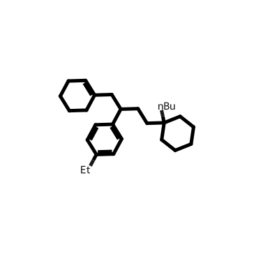 CCCCC1(CCC(CC2=CCCCC2)c2ccc(CC)cc2)CCCCC1